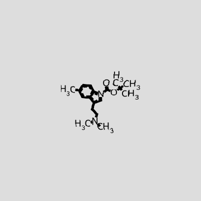 Cc1ccc2c(c1)c(CCN(C)C)cn2C(=O)OC(C)(C)C